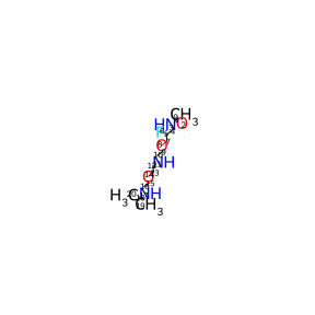 CC(=O)NCC(F)COCCNCCOCCNC(C)C